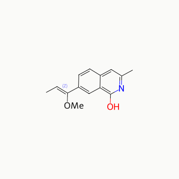 C/C=C(\OC)c1ccc2cc(C)nc(O)c2c1